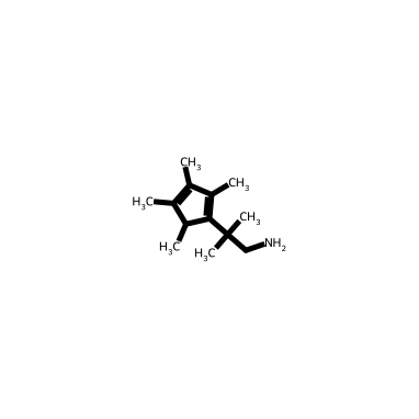 CC1=C(C)C(C)C(C(C)(C)CN)=C1C